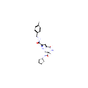 Cc1ccc(CNC(=O)c2cc3n(n2)CC(C)(C(=O)NC2CCCC2)N(C)C3=O)cc1